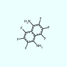 Nc1c(F)c(F)c(F)c2c(N)c(F)c(F)c(F)c12